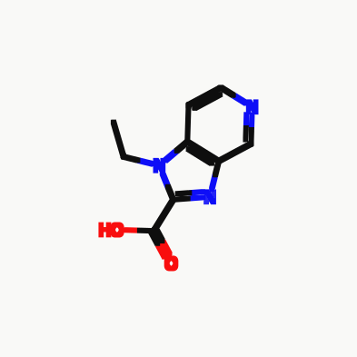 CCn1c(C(=O)O)nc2cnccc21